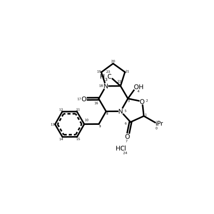 CC(C)C1OC2(O)N(C1=O)C(Cc1ccccc1)C(=O)N1CCCC12C.Cl